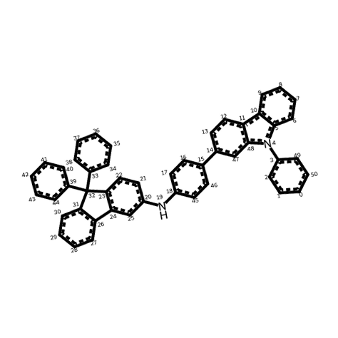 c1ccc(-n2c3ccccc3c3ccc(-c4ccc(Nc5ccc6c(c5)-c5ccccc5C6(c5ccccc5)c5ccccc5)cc4)cc32)cc1